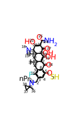 CCCN(Cc1cc(OS)c2c(c1F)C[C@H]1C[C@H]3[C@H](N(C)C)C(O)=C(C(N)=O)C(=O)[C@@]3(O)C(O)=C1C2=O)C1(C)CC1